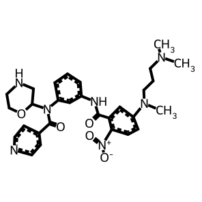 CN(C)CCCN(C)c1ccc([N+](=O)[O-])c(C(=O)Nc2cccc(N(C(=O)c3ccncc3)C3CNCCO3)c2)c1